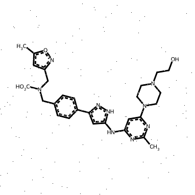 Cc1nc(Nc2cc(-c3ccc(CN(Cc4cc(C)on4)C(=O)O)cc3)n[nH]2)cc(N2CCN(CCO)CC2)n1